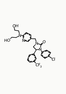 O=C1N(Cc2ccc(N(CCO)CCO)nc2)CC(c2cccc(C(F)(F)F)c2)N1c1ccc(Cl)cc1